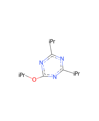 CC(C)Oc1nc(C(C)C)nc(C(C)C)n1